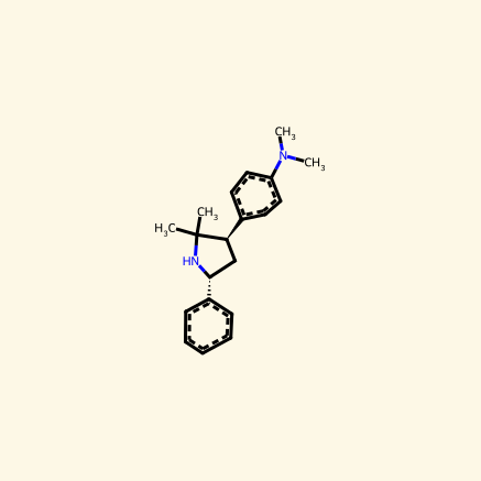 CN(C)c1ccc([C@H]2C[C@H](c3ccccc3)NC2(C)C)cc1